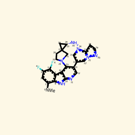 CNc1cc(F)c(F)c2c1[nH]c1ncc(-c3cnc4ccnn4c3)c(N3CCC4(C[C@@H]4N)C3)c12